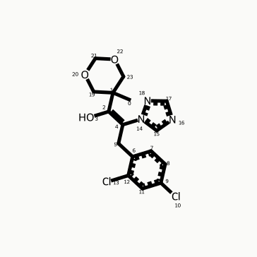 CC1(/C(O)=C(/Cc2ccc(Cl)cc2Cl)n2cncn2)COCOC1